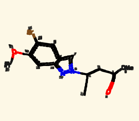 COC(=O)CC(C)n1cc2cc(Br)c(OC(C)C)cc2n1